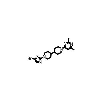 Cc1cc(N2CCC(C3CCN(c4ncc(Br)s4)CC3)CC2)nc(C)n1